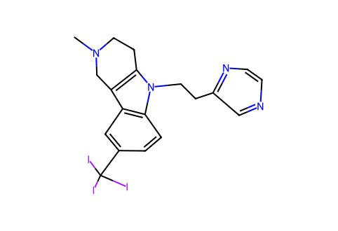 CN1CCc2c(c3cc(C(I)(I)I)ccc3n2CCc2cnccn2)C1